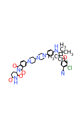 CC1(C)[C@H](Nc2ccc(N3CCN(C4CCN(c5ccc6c(c5)C(=O)N(C5CCC(=O)NC5=O)C6=O)CC4)CC3)cc2)C(C)(C)[C@H]1Oc1ccc(C#N)c(Cl)c1